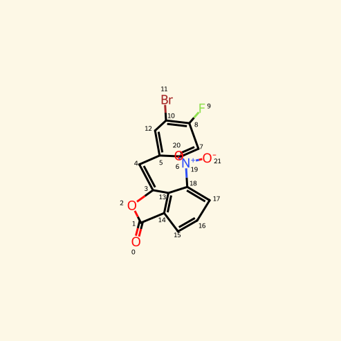 O=C1O/C(=C/c2ccc(F)c(Br)c2)c2c1cccc2[N+](=O)[O-]